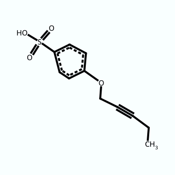 CCC#CCOc1ccc(S(=O)(=O)O)cc1